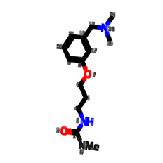 CNC(=O)NCCCOc1cccc(CN(C)C)c1